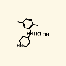 Cc1ccc(C)c(NC2CCNCC2)c1.Cl.Cl